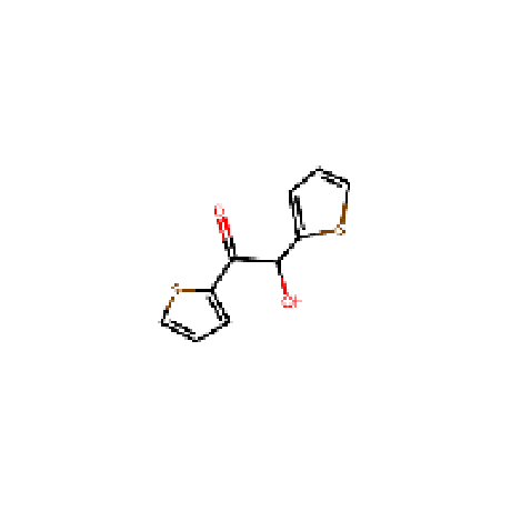 O=C(c1cccs1)C(O)c1cccs1